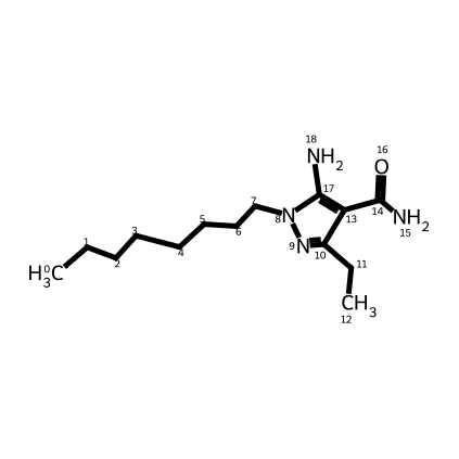 CCCCCCCCn1nc(CC)c(C(N)=O)c1N